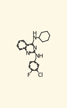 Fc1ccc(Nc2nc(NC3CCCCC3)c3ccccc3n2)cc1Cl